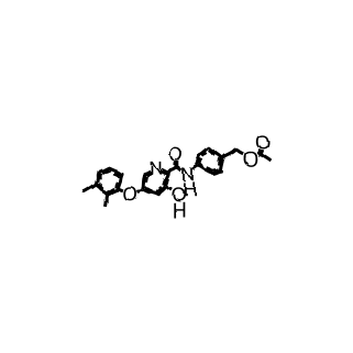 CC(=O)OCc1ccc(NC(=O)c2ncc(Oc3cccc(C)c3C)cc2O)cc1